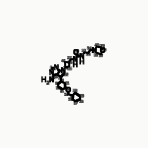 Nc1ncnc2c1c(-c1cccc(OCc3ccccc3)c1)cn2C1CC(CNC(=O)NCCCN2CCOCC2)C1